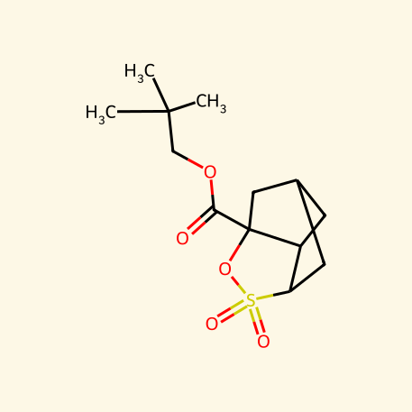 CC(C)(C)COC(=O)C12CC3CC1C(C3)S(=O)(=O)O2